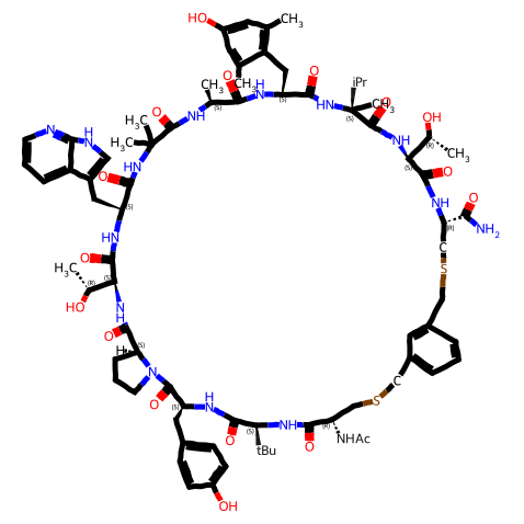 CC(=O)N[C@H]1CSCc2cccc(c2)CSC[C@@H](C(N)=O)NC(=O)[C@H]([C@@H](C)O)NC(=O)[C@](C)(C(C)C)NC(=O)[C@H](Cc2c(C)cc(O)cc2C)NC(=O)[C@H](C)NC(=O)C(C)(C)NC(=O)[C@H](Cc2c[nH]c3ncccc23)NC(=O)[C@H]([C@@H](C)O)NC(=O)[C@@H]2CCCN2C(=O)[C@H](Cc2ccc(O)cc2)NC(=O)[C@H](C(C)(C)C)NC1=O